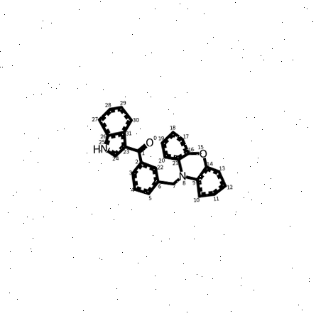 O=C(c1cccc(CN2c3ccccc3Oc3ccccc32)c1)c1c[nH]c2ccccc12